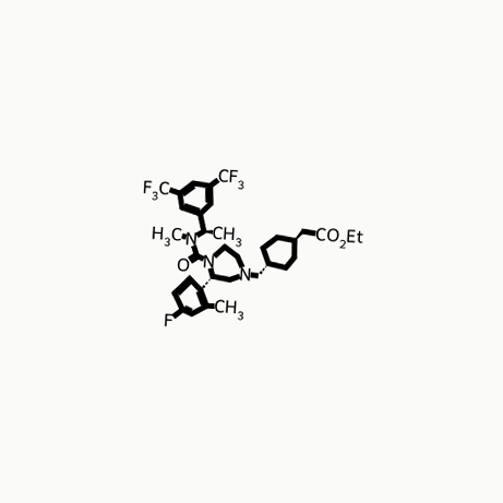 CCOC(=O)C[C@H]1CC[C@H](CN2CCN(C(=O)N(C)[C@H](C)c3cc(C(F)(F)F)cc(C(F)(F)F)c3)[C@@H](c3ccc(F)cc3C)C2)CC1